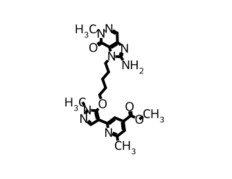 COC(=O)c1cc(C)nc(-c2cnn(C)c2OCCCCCn2c(N)nc3cnn(C)c(=O)c32)c1